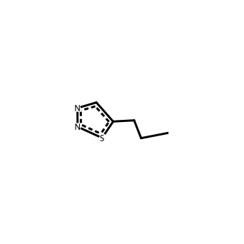 CCCc1cnns1